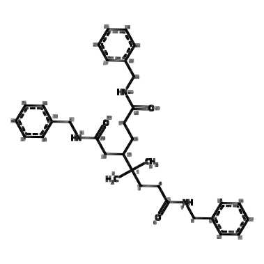 CC(C)([CH]CC(=O)NCc1ccccc1)C(CCC(=O)NCc1ccccc1)CC(=O)NCc1ccccc1